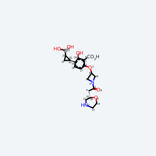 O=C(O)c1c(OC2CN(C(=O)C[C@H]3CNCCO3)C2)ccc([C@H]2CC2B(O)O)c1O